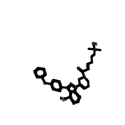 C[Si](C)(O)CCC/C=C/C(=O)N1CCC=C(n2nc(-c3ccc(Oc4ccccc4)cc3)c3c(N)ncnc32)C1